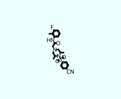 Cc1c(F)cccc1NC(=O)CN1CC(C)N(S(=O)(=O)c2ccc(C#N)cc2)C(C)C1